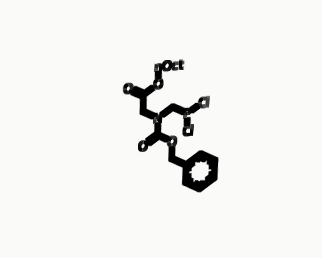 CCCCCCCCOC(=O)CN(CP(Cl)Cl)C(=O)OCc1ccccc1